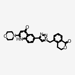 O=C1OCCc2c(Cn3cc(-c4ccc5[nH]c(N6CCOCC6)cc(=O)c5c4)nn3)cccc21